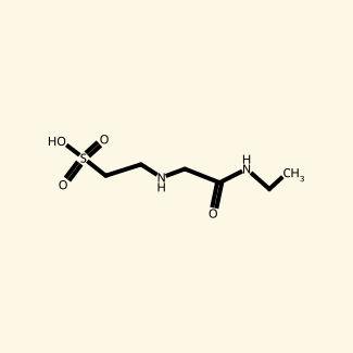 CCNC(=O)CNCCS(=O)(=O)O